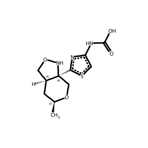 C[C@H]1C[C@H]2CON[C@@]2(c2nc(NC(=O)O)cs2)CO1